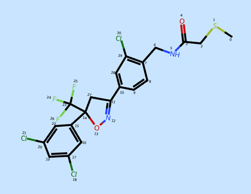 CSCC(=O)NCc1ccc(C2=NOC(c3cc(Cl)cc(Cl)c3)(C(F)(F)F)C2)cc1Cl